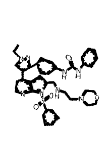 CCn1cc(-c2ccnc3c2cc(CNCCN2CCOCC2)n3S(=O)(=O)c2ccccc2)c(-c2ccc(NC(=O)Nc3ccccc3)cc2)n1